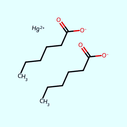 CCCCCC(=O)[O-].CCCCCC(=O)[O-].[Hg+2]